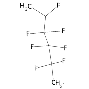 [CH2]C(F)(F)C(F)(F)C(F)(F)C(C)F